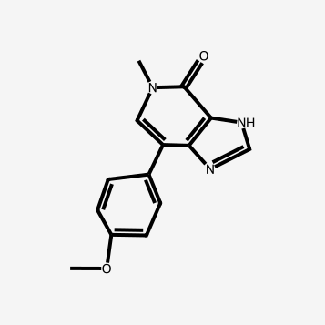 COc1ccc(-c2cn(C)c(=O)c3[nH]cnc23)cc1